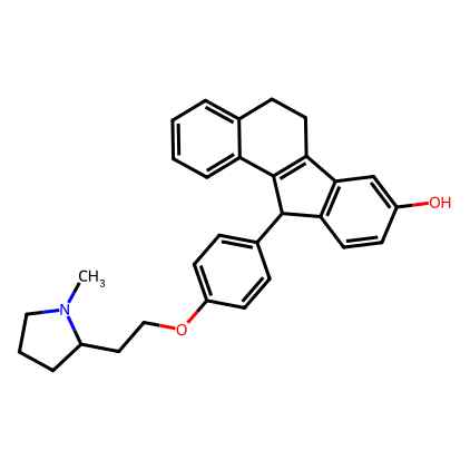 CN1CCCC1CCOc1ccc(C2C3=C(CCc4ccccc43)c3cc(O)ccc32)cc1